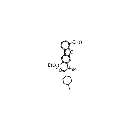 CCOC(=O)c1cc2c(cc1N(C(=O)[C@H]1CC[C@H](C)CC1)C(C)C)oc1c(C=O)cccc12